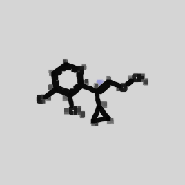 CO/C=C(/c1nccc(Cl)c1C)C1CC1